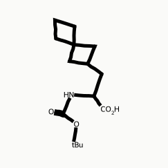 CC(C)(C)OC(=O)NC(CC1CC2(CCC2)C1)C(=O)O